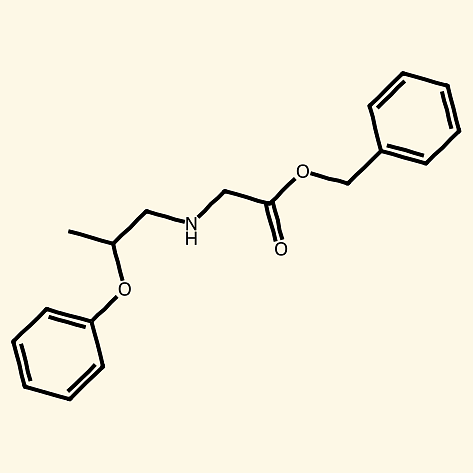 CC(CNCC(=O)OCc1ccccc1)Oc1ccccc1